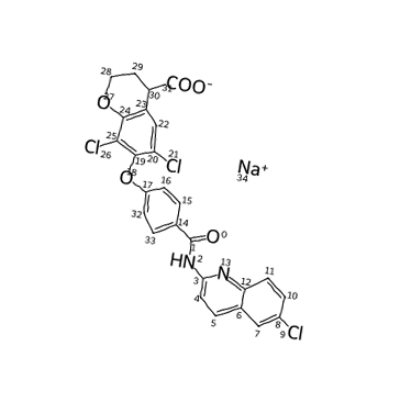 O=C(Nc1ccc2cc(Cl)ccc2n1)c1ccc(Oc2c(Cl)cc3c(c2Cl)OCCC3C(=O)[O-])cc1.[Na+]